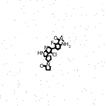 CN(C)C(=O)c1c(N)ccc(-c2cnc3c(c2Cl)[C@@]2(CC[C@@H](N4CCCC4=O)C2)CN3)c1F